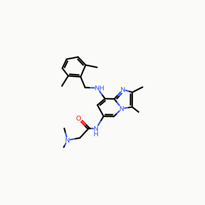 Cc1cccc(C)c1CNc1cc(NC(=O)CN(C)C)cn2c(C)c(C)nc12